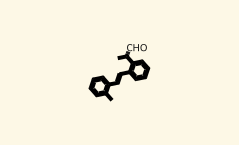 Cc1ccccc1C=Cc1ccccc1C(C)C=O